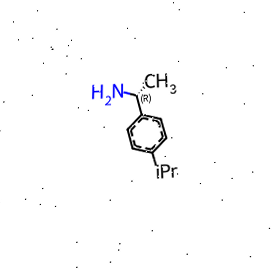 CC(C)c1ccc([C@@H](C)N)cc1